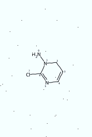 NN1CC=CN=C1Cl